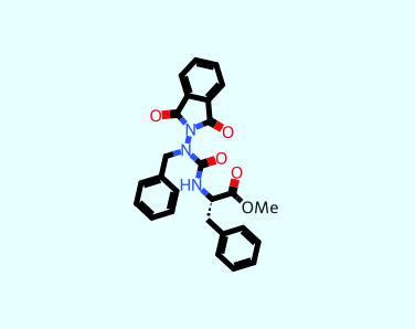 COC(=O)[C@H](Cc1ccccc1)NC(=O)N(Cc1ccccc1)N1C(=O)c2ccccc2C1=O